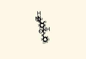 Cc1cc(NC(=O)CCc2ccccc2)ccc1-c1cn[nH]c1